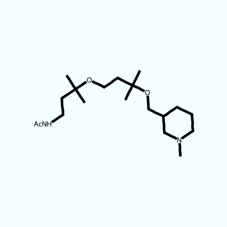 CC(=O)NCCC(C)(C)OCCC(C)(C)OCC1CCCN(C)C1